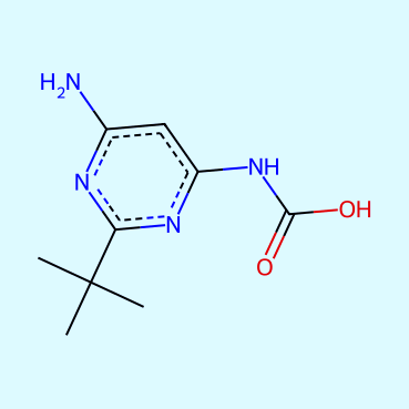 CC(C)(C)c1nc(N)cc(NC(=O)O)n1